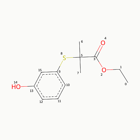 CCOC(=O)C(C)(C)Sc1cccc(O)c1